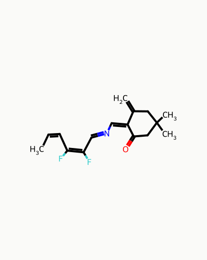 C=C1CC(C)(C)CC(=O)\C1=C/N=C/C(F)=C(F)\C=C/C